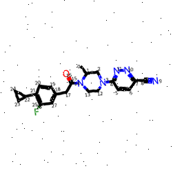 CC1CN(c2ccc(C#N)nn2)CCN1C(=O)Cc1ccc(C2CC2)c(F)c1